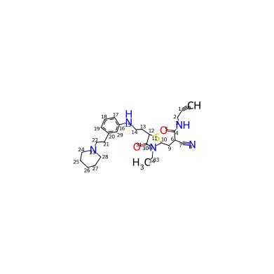 C#CCNC(=O)C(C#N)CC1SC(CCNc2cccc(CCN3CCCCC3)c2)C(=O)N1CC